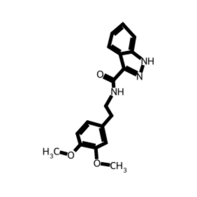 COc1ccc(CCNC(=O)c2n[nH]c3ccccc23)cc1OC